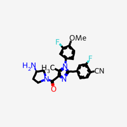 COc1ccc(-n2c(-c3ccc(C#N)c(F)c3)nc(C(=O)N3CC[C@@H](N)C3)c2C)cc1F